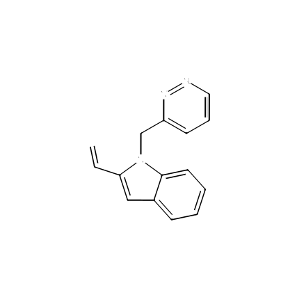 O=Cc1cc2ccccc2n1Cc1cccnn1